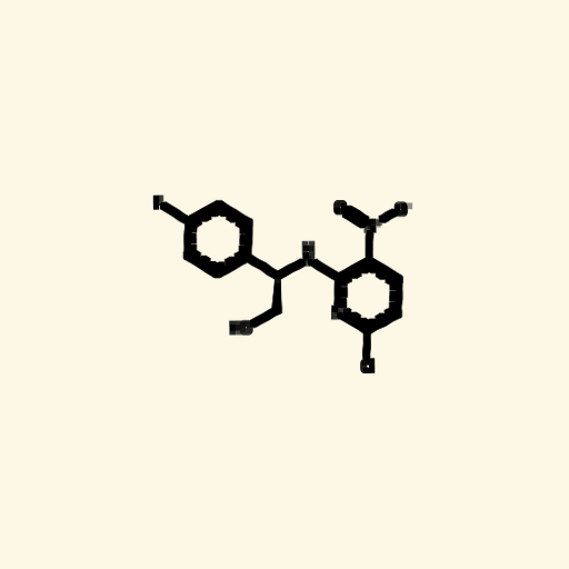 O=[N+]([O-])c1ccc(Cl)nc1N[C@@H](CO)c1ccc(F)cc1